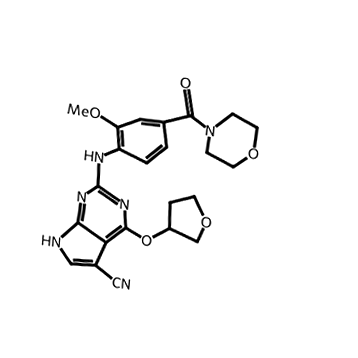 COc1cc(C(=O)N2CCOCC2)ccc1Nc1nc(OC2CCOC2)c2c(C#N)c[nH]c2n1